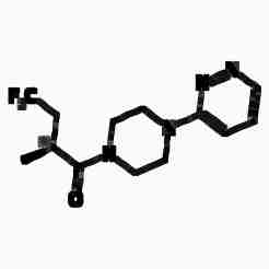 C[C@@H](CC(F)(F)F)C(=O)N1CCN(c2cccnn2)CC1